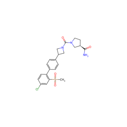 CS(=O)(=O)c1cc(Cl)ccc1-c1ccc(C2CN(C(=O)N3CC[C@@H](C(N)=O)C3)C2)cc1